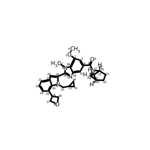 COc1cc(C(=O)N2C[C@H]3CC[C@@H]2[C@@H]3N)cc2nc(-c3cc4cccc(C5COC5)c4n3CC3CC3)n(C)c12